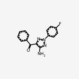 Nc1nn(-c2ccc(F)cc2)nc1C(=O)c1ccccc1